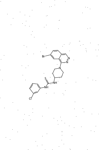 S=C(Nc1cccc(Cl)c1)NC1CCN(c2nncc3ccc(Br)cc23)CC1